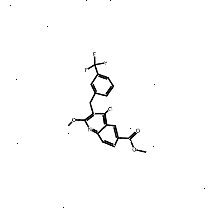 COC(=O)c1ccc2nc(OC)c(Cc3cccc(C(F)(F)F)c3)c(Cl)c2c1